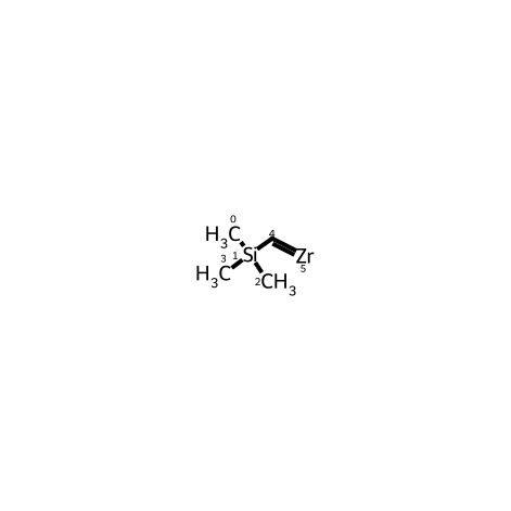 C[Si](C)(C)[CH]=[Zr]